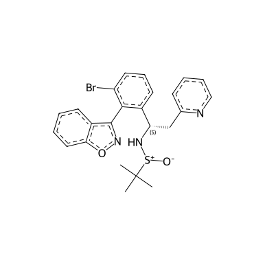 CC(C)(C)[S+]([O-])N[C@@H](Cc1ccccn1)c1cccc(Br)c1-c1noc2ccccc12